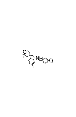 COc1ccc(CNCCC2(C3C=CC(C)=CC3)CCOC(C)(C)C2)cc1